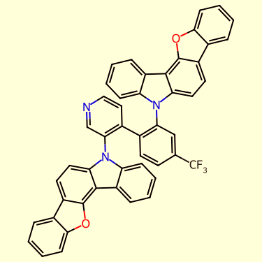 FC(F)(F)c1ccc(-c2ccncc2-n2c3ccccc3c3c4oc5ccccc5c4ccc32)c(-n2c3ccccc3c3c4oc5ccccc5c4ccc32)c1